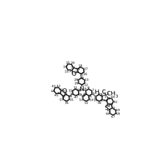 CC1(C)c2cc(-c3ccc(N(c4ccc(-c5cccc6c5oc5ccccc56)cc4)c4ccc(-c5cccc6c5oc5ccccc56)cc4)c4ccccc34)ccc2-c2c1ccc1c2sc2ccccc21